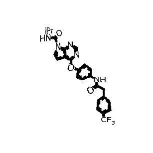 CC(C)NC(=O)n1ccc2c(Oc3ccc(NC(=O)Cc4ccc(C(F)(F)F)cc4)cc3)ncnc21